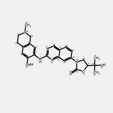 COc1cc2c(cc1Nc1ncc3ccc(N4CC(C(C)(C)O)OC4=O)cc3n1)CN(C)CC2